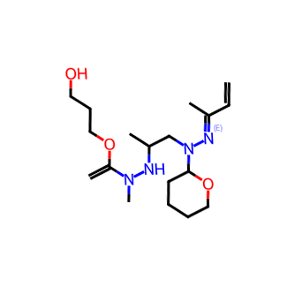 C=C/C(C)=N/N(CC(C)NN(C)C(=C)OCCCO)C1CCCCO1